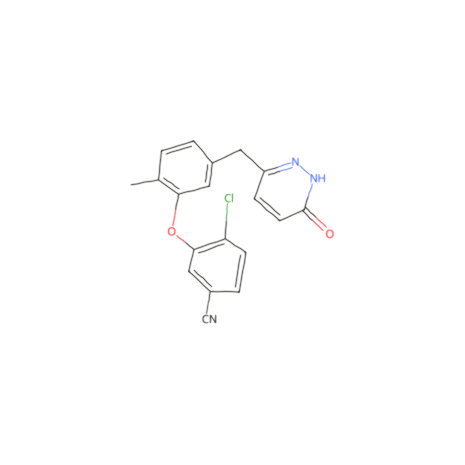 Cc1ccc(Cc2ccc(=O)[nH]n2)cc1Oc1cc(C#N)ccc1Cl